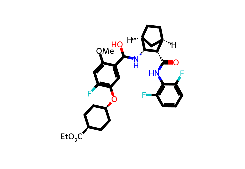 CCOC(=O)[C@H]1CC[C@@H](Oc2cc(C(O)N[C@@H]3[C@H]4CC[C@H](C4)[C@@H]3C(=O)Nc3c(F)cccc3F)c(OC)cc2F)CC1